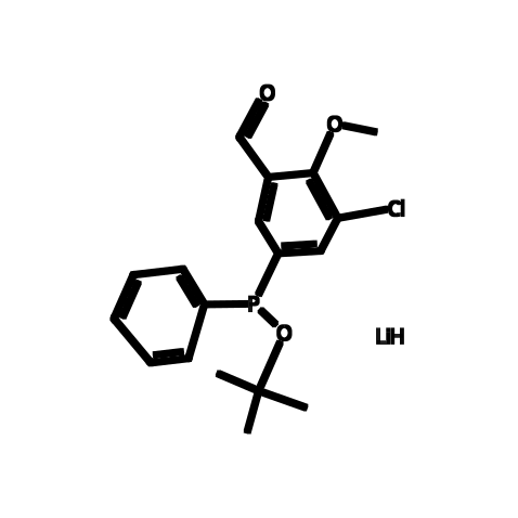 COc1c(Cl)cc(P(OC(C)(C)C)c2ccccc2)cc1C=O.[LiH]